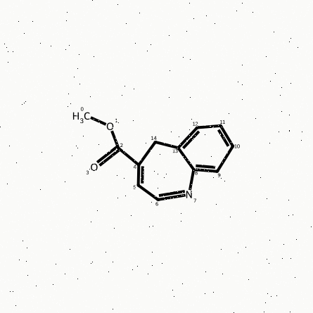 COC(=O)C1=CC=Nc2ccccc2C1